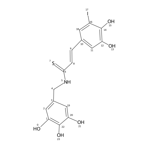 Oc1cc(CNC(=S)/C=C/c2cc(O)c(O)c(I)c2)cc(O)c1O